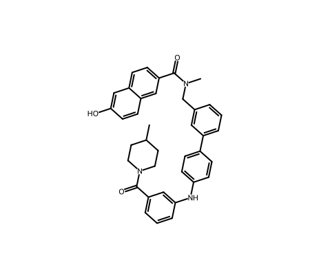 CC1CCN(C(=O)c2cccc(Nc3ccc(-c4cccc(CN(C)C(=O)c5ccc6cc(O)ccc6c5)c4)cc3)c2)CC1